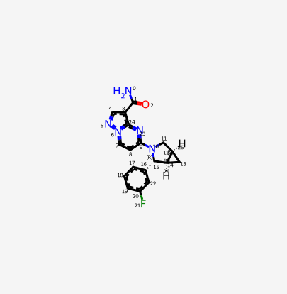 NC(=O)c1cnn2ccc(N3C[C@H]4C[C@H]4[C@@H]3c3cccc(F)c3)nc12